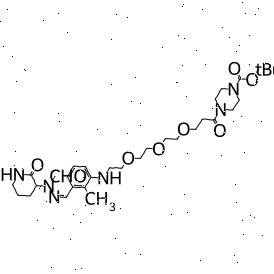 Cc1c(/C=N\N(C=O)C2CCCNC2=O)cccc1NCCOCCOCCOCCC(=O)N1CCN(C(=O)OC(C)(C)C)CC1